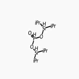 CC(C)[SiH](O[PH](=O)O[SiH](C(C)C)C(C)C)C(C)C